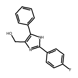 OCc1nc(-c2ccc(F)cc2)[nH]c1-c1ccccc1